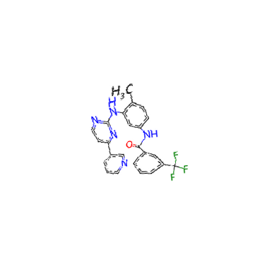 Cc1ccc(NC(=O)c2cccc(C(F)(F)F)c2)cc1Nc1nccc(-c2cccnc2)n1